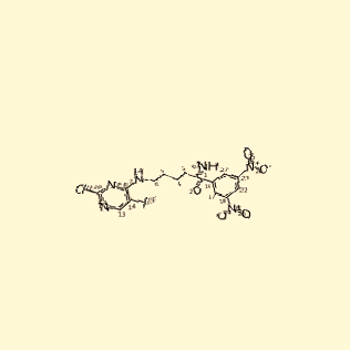 N=S(=O)(CCCCNc1nc(Cl)ncc1I)c1cc([N+](=O)[O-])cc([N+](=O)[O-])c1